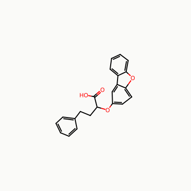 O=C(O)C(CCc1ccccc1)Oc1ccc2oc3ccccc3c2c1